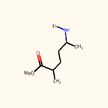 CCNC(C)CCC(C)C(=O)OC